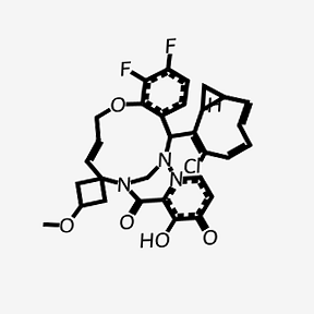 COC1CC2(/C=C/COc3c(ccc(F)c3F)C(/C3=C(Cl)/C=C\C=C\C4C[C@@H]34)N3CN2C(=O)c2c(O)c(=O)ccn23)C1